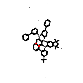 Cc1cc2c3c(c1)N(c1ccc(C(C)(C)C)cc1-c1ccccc1)c1cc4c(cc1B3c1ccc(-c3ccccc3)cc1N2c1cccc(-c2ccccc2)c1)C(C)(C)CC4(C)C